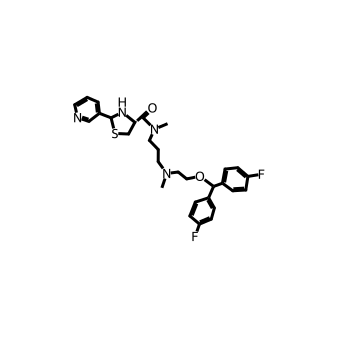 CN(CCCN(C)C(=O)[C@@H]1CSC(c2cccnc2)N1)CCOC(c1ccc(F)cc1)c1ccc(F)cc1